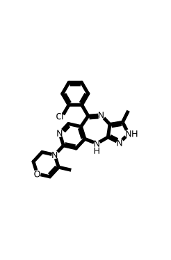 CC1=COCCN1c1cc2c(cn1)C(c1ccccc1Cl)=Nc1c(n[nH]c1C)N2